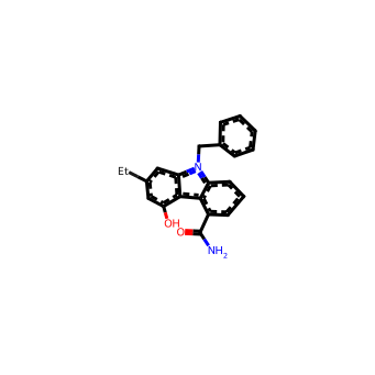 CCc1cc(O)c2c3c(C(N)=O)cccc3n(Cc3ccccc3)c2c1